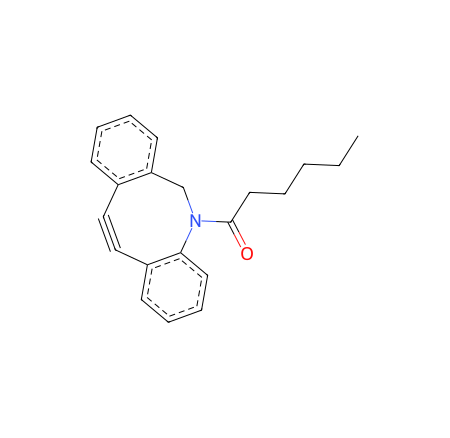 CCCCCC(=O)N1Cc2ccccc2C#Cc2ccccc21